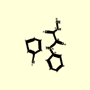 CCc1ccccc1.O=C(NO)C(=O)Nc1ccccc1